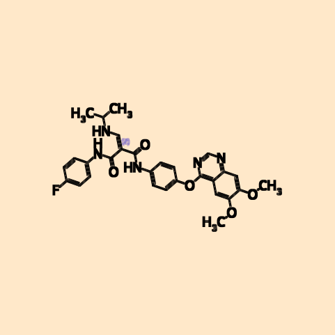 COc1cc2ncnc(Oc3ccc(NC(=O)/C(=C/NC(C)C)C(=O)Nc4ccc(F)cc4)cc3)c2cc1OC